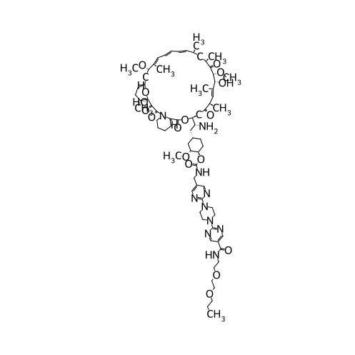 CCCOCCOCCNC(=O)c1cnc(N2CCN(c3ncc(CNC(=O)O[C@@H]4CC[C@@H](C[C@@H](N)[C@@H]5CC(=O)[C@H](C)/C=C(\C)[C@@H](O)[C@@H](OC)C(=O)[C@H](C)C[C@H](C)/C=C/C=C/C=C(\C)[C@@H](OC)C[C@@H]6CC[C@@H](C)[C@@](O)(O6)C(=O)C(=O)N6CCCC[C@H]6C(=O)O5)C[C@H]4OC)cn3)CC2)nc1